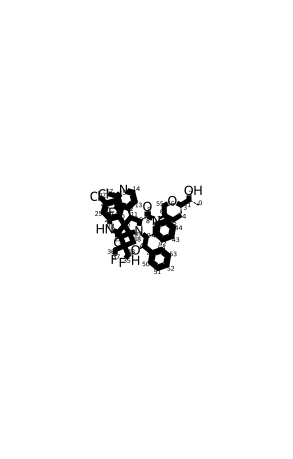 C[C@@H](O)[C@@H]1CC[C@@H](NC(=O)[C@H]2[C@H](c3ccnc(Cl)c3F)C3(C(=O)Nc4cc(Cl)ccc43)C3(CC(CF)(CF)C3)N2[C@H](c2ccccc2)[C@@H](O)c2ccccc2)CO1